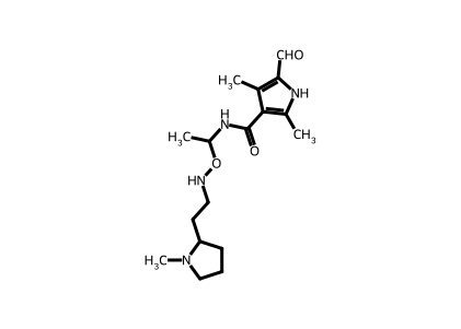 Cc1[nH]c(C=O)c(C)c1C(=O)NC(C)ONCCC1CCCN1C